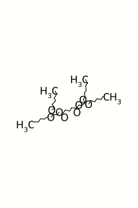 CCCCCCOC(COC(=O)CCCC(=O)OCC(OCCCCCC)OCCCCCC)OCCCCCC